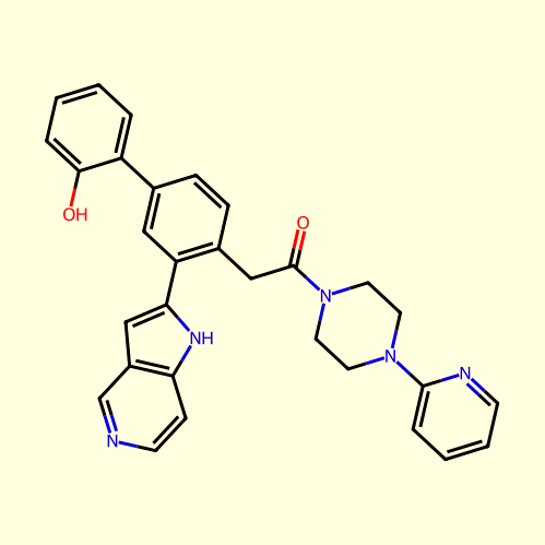 O=C(Cc1ccc(-c2ccccc2O)cc1-c1cc2cnccc2[nH]1)N1CCN(c2ccccn2)CC1